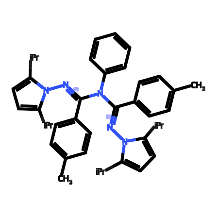 Cc1ccc(/C(=N\n2c(C(C)C)ccc2C(C)C)N(/C(=N/n2c(C(C)C)ccc2C(C)C)c2ccc(C)cc2)c2ccccc2)cc1